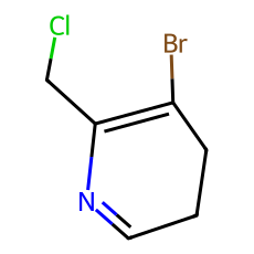 ClCC1=C(Br)CCC=N1